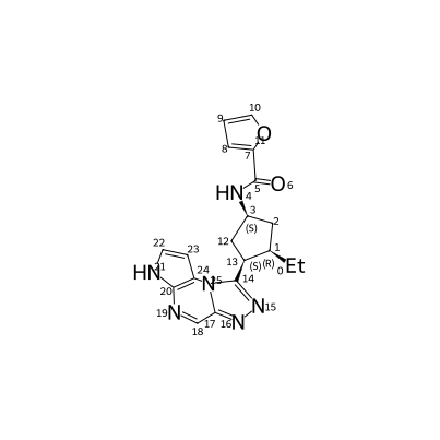 CC[C@@H]1C[C@H](NC(=O)c2ccco2)C[C@@H]1c1nnc2cnc3[nH]ccc3n12